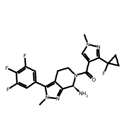 Cn1cc(C(=O)N2CCc3c(nn(C)c3-c3cc(F)c(F)c(F)c3)[C@@H]2N)c(C2(F)CC2)n1